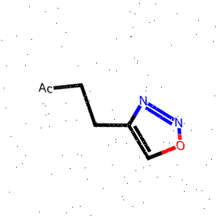 CC(=O)CCc1conn1